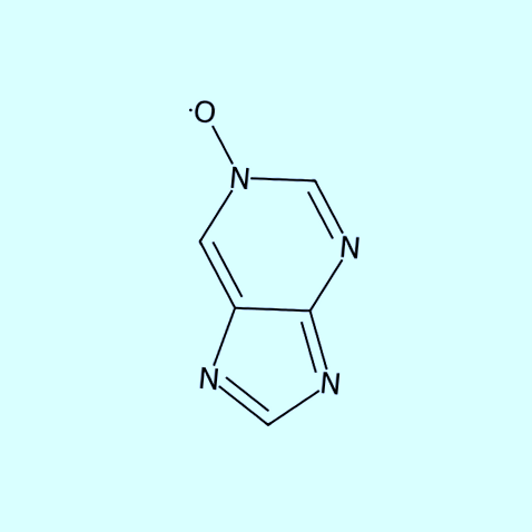 [O]n1cnc2ncnc-2c1